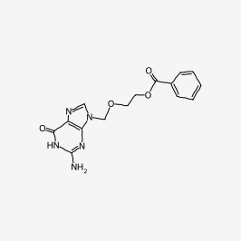 Nc1nc2c(ncn2COCCOC(=O)c2ccccc2)c(=O)[nH]1